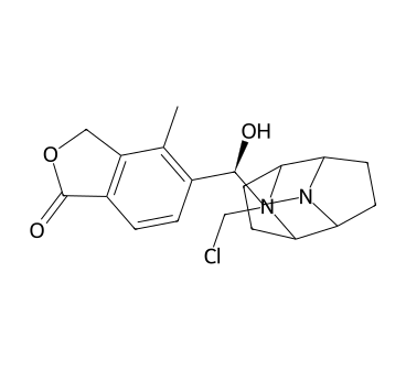 Cc1c([C@@H](O)CN2C3CCC2C2CCC3N2CCl)ccc2c1COC2=O